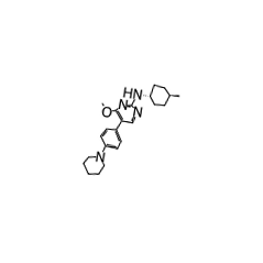 COc1nc(N[C@H]2CC[C@H](C)CC2)ncc1-c1ccc(N2CCCCC2)cc1